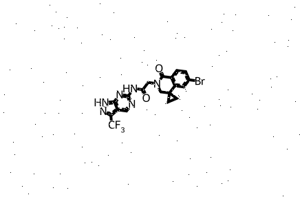 O=C(CN1CC2(CC2)c2cc(Br)ccc2C1=O)Nc1ncc2c(C(F)(F)F)n[nH]c2n1